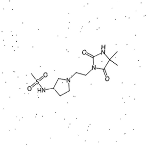 CC1(C)NC(=O)N(CCN2CCC(NS(C)(=O)=O)C2)C1=O